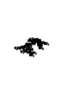 CCOC(=O)COP(=O)(N[C@@H](CC(C)C)C(=O)OC(C)C)OC[C@H]1O[C@@H](n2cnc3c(OC)nc(N)nc32)[C@](C)(O)C1O